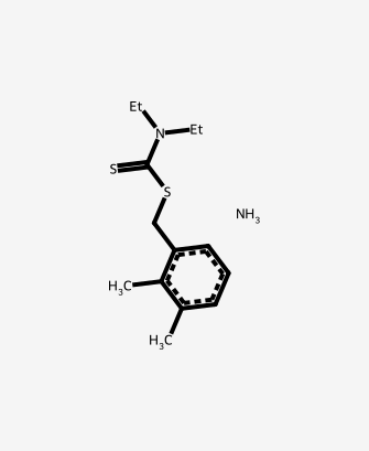 CCN(CC)C(=S)SCc1cccc(C)c1C.N